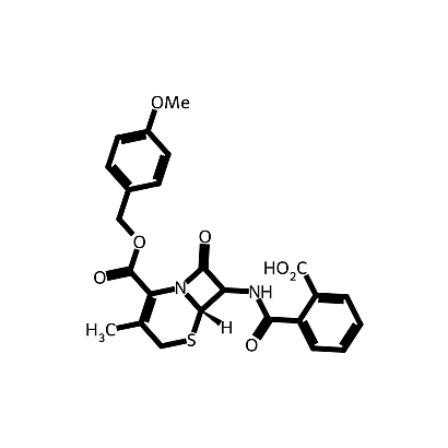 COc1ccc(COC(=O)C2=C(C)CS[C@H]3C(NC(=O)c4ccccc4C(=O)O)C(=O)N23)cc1